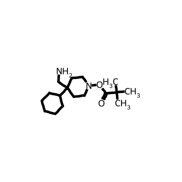 CC(C)(C)C(=O)ON1CCC(CN)(C2CCCCC2)CC1